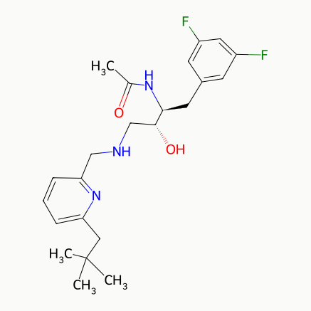 CC(=O)N[C@@H](Cc1cc(F)cc(F)c1)[C@H](O)CNCc1cccc(CC(C)(C)C)n1